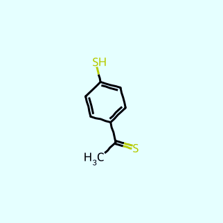 CC(=S)c1ccc(S)cc1